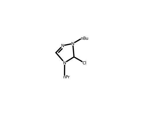 CCCCN1N=CN(CCC)C1Cl